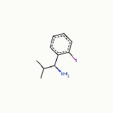 CC(C)[C@H](N)c1ccccc1I